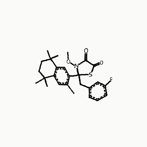 CON1C(=O)C(=O)SC1(Cc1cccc(F)c1)c1cc2c(cc1C)C(C)(C)CCC2(C)C